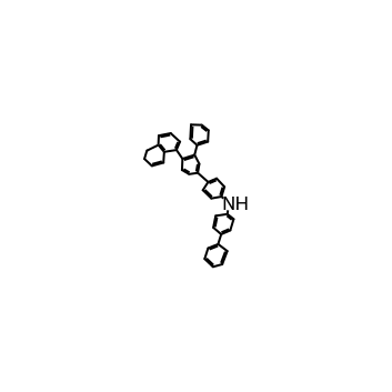 C1=Cc2c(cccc2-c2ccc(-c3ccc(Nc4ccc(-c5ccccc5)cc4)cc3)cc2-c2ccccc2)CC1